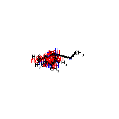 CCCCCC/C=C\CCCCCCCCCC(=O)N[C@@H]1C(O[C@@H]2C(CO)O[C@@H](O[C@@H]3C(CO)O[C@@H](O[C@@H]4C(CO)O[C@@H](O[C@@H]5C(COC6OC(C)[C@@H](O)[C@@H](O)[C@H]6OC)O[C@@H](O)[C@@H](NC(C)=O)C5O)[C@@H](NC(C)=O)C4O)[C@@H](NC(C)=O)C3O)[C@@H](NC(C)=O)C2O)OC(COC(C)=O)[C@@H](O)[C@@H]1O